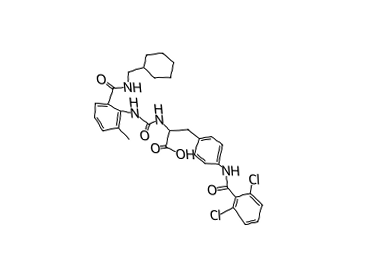 Cc1cccc(C(=O)NCC2CCCCC2)c1NC(=O)NC(Cc1ccc(NC(=O)c2c(Cl)cccc2Cl)cc1)C(=O)O